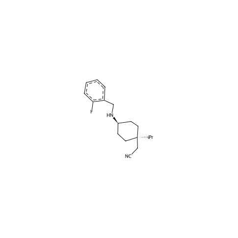 CC(C)[C@]1(CC#N)CC[C@@H](NCc2ccccc2F)CC1